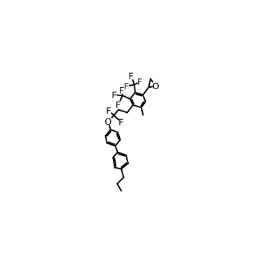 CCCc1ccc(-c2ccc(OC(F)(F)CCc3c(C)cc(C4CO4)c(C(F)(F)F)c3C(F)(F)F)cc2)cc1